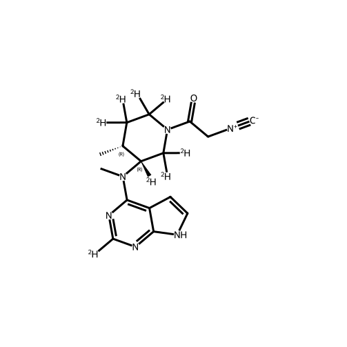 [2H]c1nc(N(C)[C@]2([2H])[C@H](C)C([2H])([2H])C([2H])([2H])N(C(=O)C[N+]#[C-])C2([2H])[2H])c2cc[nH]c2n1